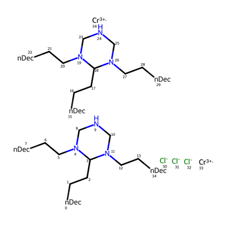 CCCCCCCCCCCCC1N(CCCCCCCCCCCC)CNCN1CCCCCCCCCCCC.CCCCCCCCCCCCC1N(CCCCCCCCCCCC)CNCN1CCCCCCCCCCCC.[Cl-].[Cl-].[Cl-].[Cr+3].[Cr+3]